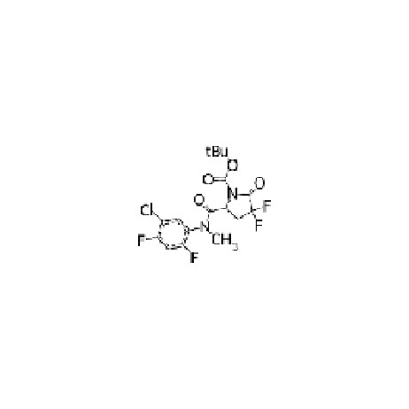 CN(C(=O)C1CC(F)(F)C(=O)N1C(=O)OC(C)(C)C)c1cc(Cl)c(F)cc1F